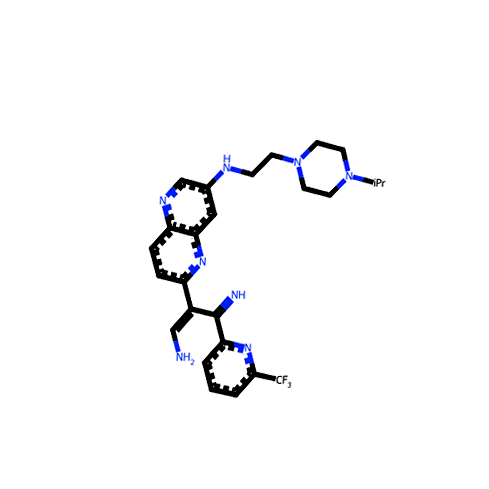 CC(C)N1CCN(CCNc2cnc3ccc(/C(=C/N)C(=N)c4cccc(C(F)(F)F)n4)nc3c2)CC1